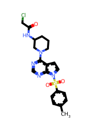 Cc1ccc(S(=O)(=O)n2ccc3c(N4CCCC(NC(=O)CCl)C4)ncnc32)cc1